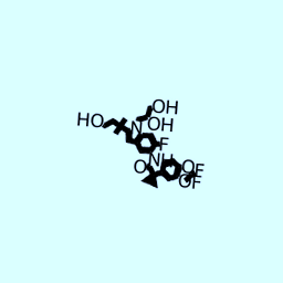 CC(C)(CCO)c1cc2cc(NC(=O)C3(c4ccc5c(c4)OC(F)(F)O5)CC3)c(F)cc2n1CC(O)CO